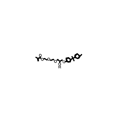 C=C(C)C(=O)OCCOCCOCC(O)COc1ccc(C(C)(C)c2ccc(C)cc2)cc1